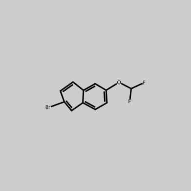 FC(F)Oc1ccc2cc(Br)ccc2c1